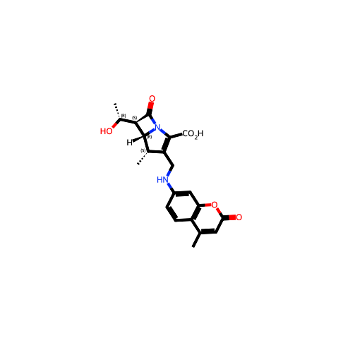 Cc1cc(=O)oc2cc(NCC3=C(C(=O)O)N4C(=O)[C@H]([C@@H](C)O)[C@H]4[C@H]3C)ccc12